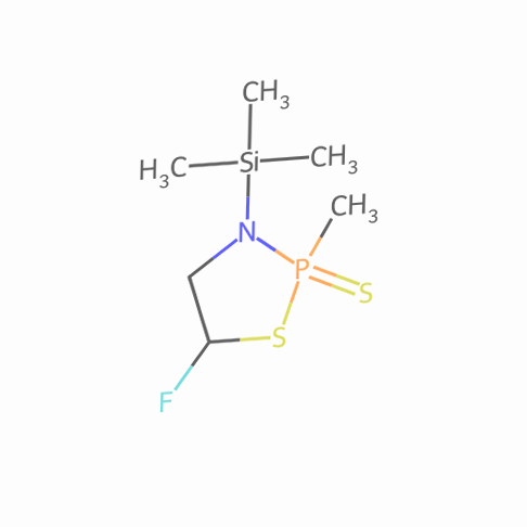 C[Si](C)(C)N1CC(F)SP1(C)=S